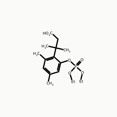 CCOP(=O)(OCC)Oc1cc(C)cc(C)c1C(C)(C)CC(=O)O